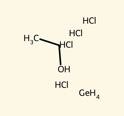 CCO.Cl.Cl.Cl.Cl.[GeH4]